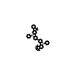 CC1(C)c2ccccc2-c2cc3c(cc21)c1cc(-c2ccc4c(c2)c2c5c(ccc2n4-c2ccccc2)C(C)(C)C(C)(C)C5(C)C)ccc1n3-c1ccccc1